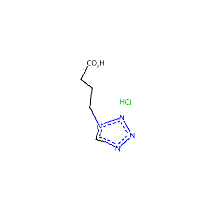 Cl.O=C(O)CCCn1cnnn1